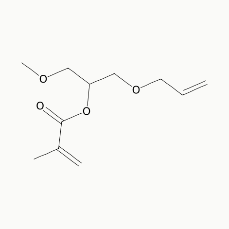 C=CCOCC(COC)OC(=O)C(=C)C